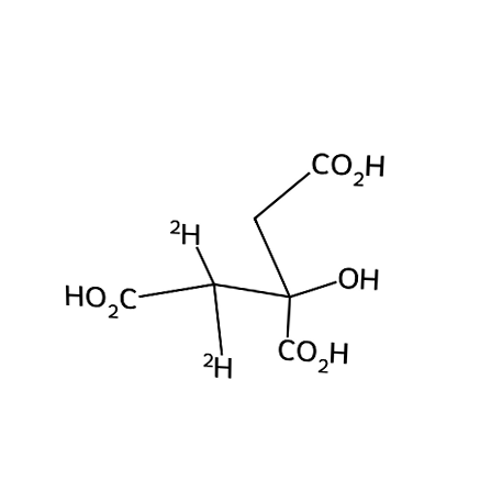 [2H]C([2H])(C(=O)O)C(O)(CC(=O)O)C(=O)O